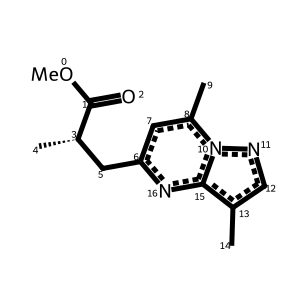 COC(=O)[C@@H](C)Cc1cc(C)n2ncc(C)c2n1